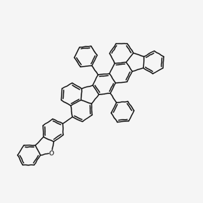 c1ccc(-c2c3cc4c5ccccc5c5cccc(c3c(-c3ccccc3)c3c6cccc7c(-c8ccc9c(c8)oc8ccccc89)ccc(c23)c76)c54)cc1